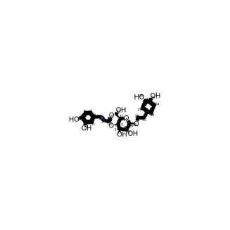 O=C(/C=C/c1ccc(O)c(O)c1)O[C@H]1[C@H](O)[C@@H](O)[C@H](OCCc2ccc(O)c(O)c2)O[C@@H]1CO